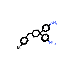 CCc1ccc(CC2CCC(c3ccc(N)cc3)(c3ccc(N)cc3)CC2)cc1